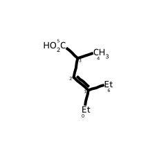 CCC(=CC(C)C(=O)O)CC